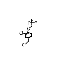 FC(F)(F)COc1ccc(CCl)cc1Cl